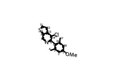 COc1cc(C)c(-c2ncc3sccc3c2Cl)c(C)c1